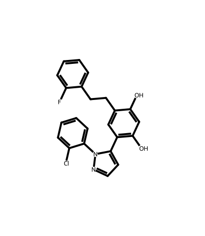 Oc1cc(O)c(-c2ccnn2-c2ccccc2Cl)cc1CCc1ccccc1F